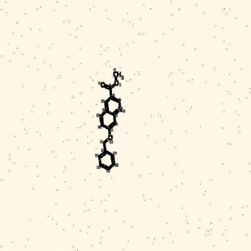 COC(=O)c1cnc2cc(OCc3ccccc3)ccc2c1